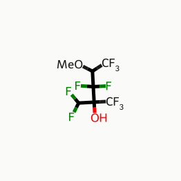 COC(C(F)(F)F)C(F)(F)C(O)(C(F)F)C(F)(F)F